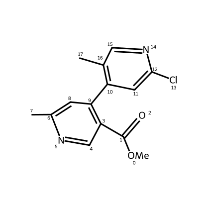 COC(=O)c1cnc(C)cc1-c1cc(Cl)ncc1C